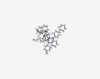 CC1(C)CCC(C)(C)c2cc(-n3c4ccc(F)cc4c4cccc(N(c5ccc(-c6ccccc6)cc5)c5cccc(-c6cccc7ccccc67)c5)c43)ccc21